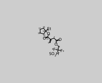 C=C(CC(=O)OCC(F)(F)S(=O)(=O)O)C(=O)OC1(CC)CCCC1